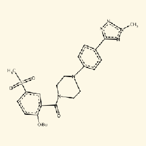 CC(C)COc1ccc(S(C)(=O)=O)cc1C(=O)N1CCN(c2ccc(-c3nnn(C)n3)cc2)CC1